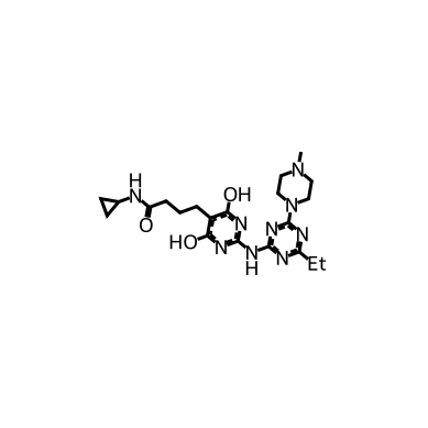 CCc1nc(Nc2nc(O)c(CCCC(=O)NC3CC3)c(O)n2)nc(N2CCN(C)CC2)n1